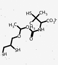 CC(OCC(S)CS)OC(=O)NC(C(=O)O)C(C)(C)S